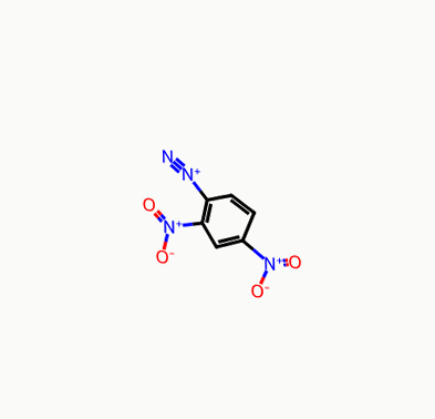 N#[N+]c1ccc([N+](=O)[O-])cc1[N+](=O)[O-]